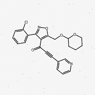 O=C(C#Cc1cccnc1)c1c(-c2ccccc2Cl)noc1COC1CCCCO1